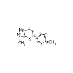 Cc1ccc(C2CCc3nnc(C)n3C2)cc1